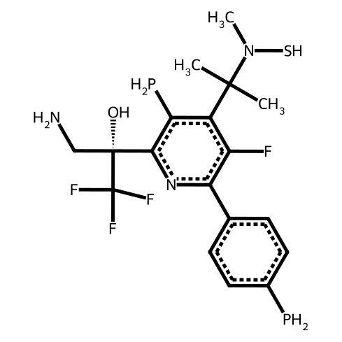 CN(S)C(C)(C)c1c(F)c(-c2ccc(P)cc2)nc([C@](O)(CN)C(F)(F)F)c1P